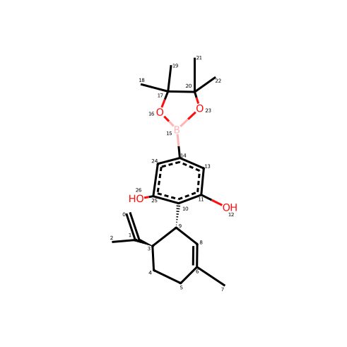 C=C(C)[C@@H]1CCC(C)=C[C@H]1c1c(O)cc(B2OC(C)(C)C(C)(C)O2)cc1O